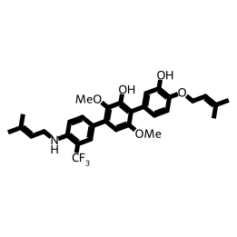 COc1cc(-c2ccc(NCC=C(C)C)c(C(F)(F)F)c2)c(OC)c(O)c1-c1ccc(OCC=C(C)C)c(O)c1